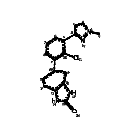 Cn1ccc(-c2cccc(-c3ccc4[nH]c(=O)[nH]c4c3)c2Cl)n1